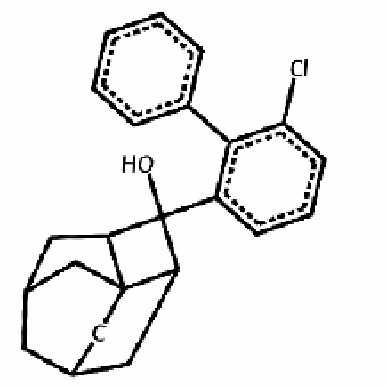 OC1(c2cccc(Cl)c2-c2ccccc2)C2CC3CC4CC1C2(C3)C4